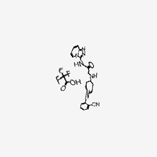 N#Cc1ccccc1N1CCC(NCC(=O)Nc2nnc3ccccn23)CC1.O=C(O)C(F)(F)F